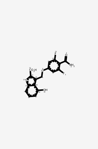 NC(=O)c1c(F)cc(OCc2c(C(=O)O)sc3cccc(O)c23)cc1F